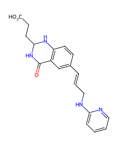 O=C(O)CCC1NC(=O)c2cc(C=CCNc3ccccn3)ccc2N1